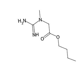 CCCCOC(=O)CN(C)C(=N)N